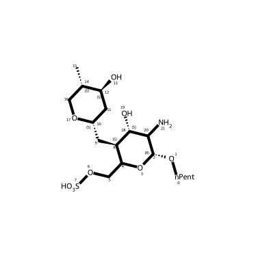 CCCCCO[C@@H]1OC(COS(=O)(=O)O)[C@@H](C[C@H]2C[C@H](O)[C@@H](C)CO2)[C@H](O)C1N